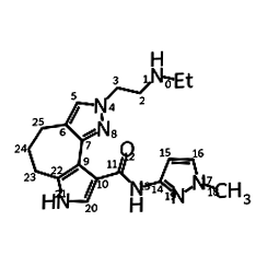 CCNCCn1cc2c(n1)-c1c(C(=O)Nc3ccn(C)n3)c[nH]c1CCC2